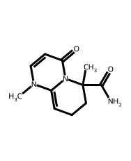 CN1C=CC(=O)N2C1=CCCC2(C)C(N)=O